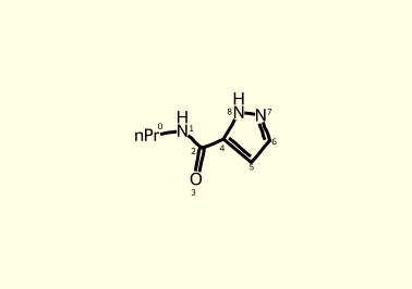 CCCNC(=O)c1ccn[nH]1